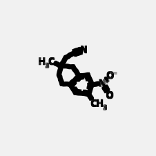 Cc1cc2c(cc1[N+](=O)[O-])CC(C)(CC#N)CC2